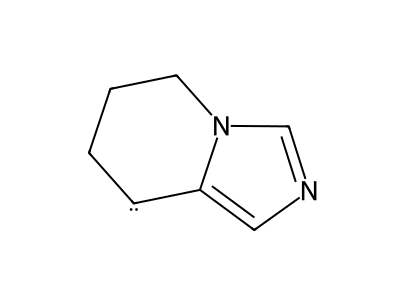 [C]1CCCn2cncc21